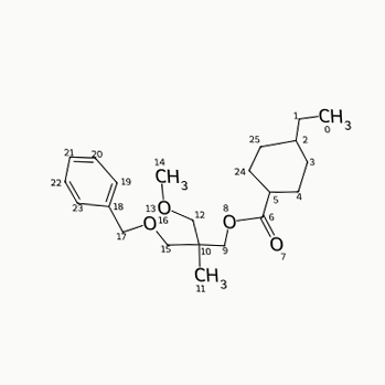 CCC1CCC(C(=O)OCC(C)(COC)COCc2ccccc2)CC1